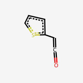 O=C=Cc1cccs1